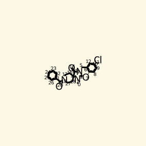 CN1C(=O)N(Cc2cccc(Cl)c2)C(=O)C12CCN(C(=O)c1ccccc1)CC2